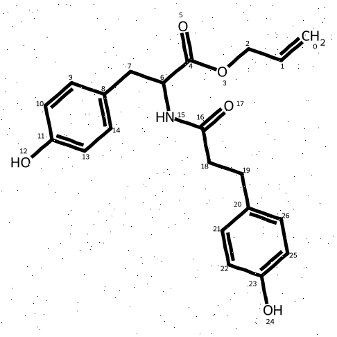 C=CCOC(=O)C(Cc1ccc(O)cc1)NC(=O)CCc1ccc(O)cc1